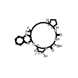 CC(=O)[C@@H]1[C@H](C)[C@@H]2CN1C(=O)[C@H](C(C)(C)C)NC(=O)O[C@@H]1CCC[C@H]1CCCCC(F)(F)c1nc3ccccc3nc1O2